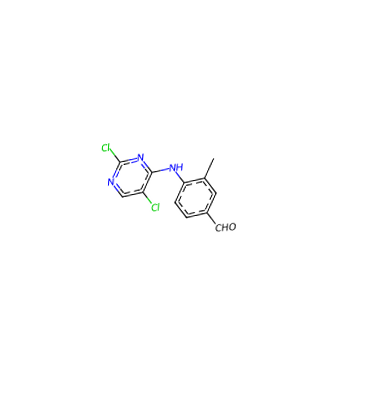 Cc1cc(C=O)ccc1Nc1nc(Cl)ncc1Cl